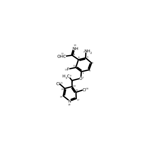 CC(Oc1ccc(N)c(C(=N)C=O)c1F)c1c(Cl)cncc1Cl